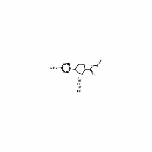 CCCCCCc1ccc(C2CCC(C(=O)OSF)CC2)cc1.F.F.F.F.F